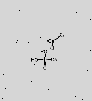 O=P(O)(O)O.[Cl][Ge][Cl]